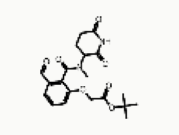 CN(C(=O)c1c(C=O)cccc1OCC(=O)OC(C)(C)C)C1CCC(=O)NC1=O